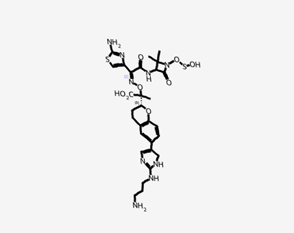 CC(O/N=C(\C(=O)NC1C(=O)N(OSO)C1(C)C)c1csc(N)n1)(C(=O)O)[C@H]1CCc2cc(C3=CN=C(NCCCN)NC3)ccc2O1